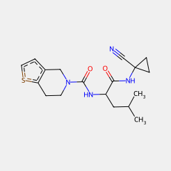 CC(C)CC(NC(=O)N1CCc2sccc2C1)C(=O)NC1(C#N)CC1